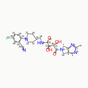 Cc1ncc2c(n1)CN(C(=O)[C@H](O)[C@@H](O)C(=O)NCC1CCN(c3ccc(F)cc3C#N)CC1)C2